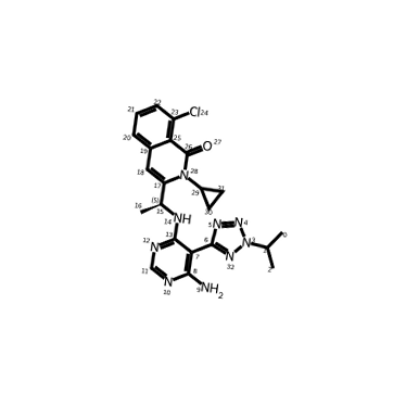 CC(C)n1nnc(-c2c(N)ncnc2N[C@@H](C)c2cc3cccc(Cl)c3c(=O)n2C2CC2)n1